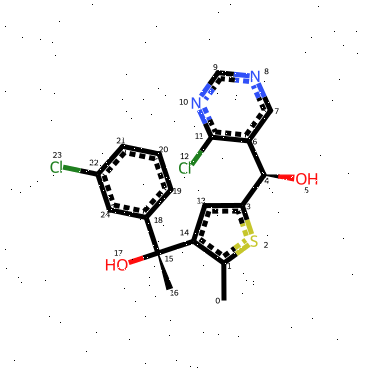 Cc1sc([C@H](O)c2cncnc2Cl)cc1[C@](C)(O)c1cccc(Cl)c1